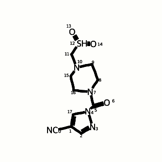 N#Cc1cnn(C(=O)N2CCN(C[SH](=O)=O)CC2)c1